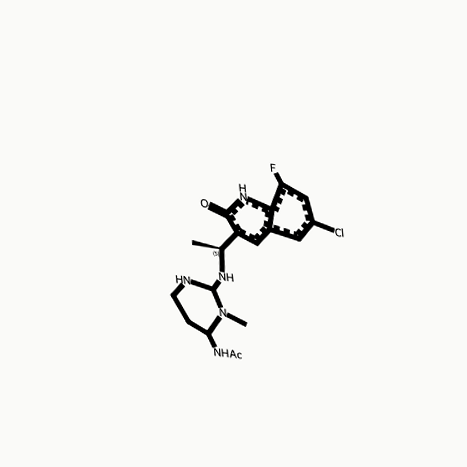 CC(=O)NC1CCNC(N[C@@H](C)c2cc3cc(Cl)cc(F)c3[nH]c2=O)N1C